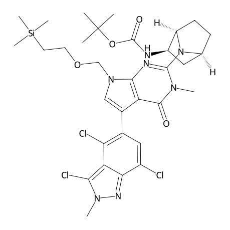 Cn1nc2c(Cl)cc(-c3cn(COCC[Si](C)(C)C)c4nc(N5[C@H]6CC[C@@H]5[C@H](NC(=O)OC(C)(C)C)C6)n(C)c(=O)c34)c(Cl)c2c1Cl